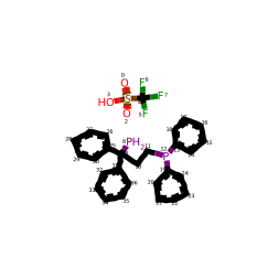 O=S(=O)(O)C(F)(F)F.PC(CCP(c1ccccc1)c1ccccc1)(c1ccccc1)c1ccccc1